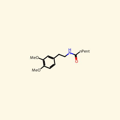 CCCCCC(=O)NCCc1ccc(OC)c(OC)c1